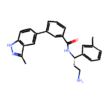 Cc1cccc([C@H](CCN)NC(=O)c2cccc(-c3ccc4[nH]nc(C)c4c3)c2)c1